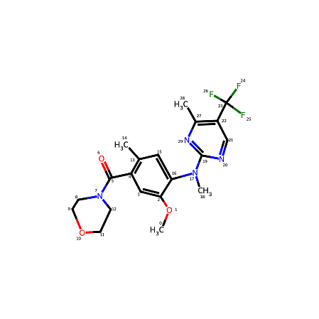 COc1cc(C(=O)N2CCOCC2)c(C)cc1N(C)c1ncc(C(F)(F)F)c(C)n1